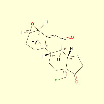 C[C@]12CC[C@H]3O[C@H]3C1=CC(=O)[C@H]1[C@@H]3CCC(=O)[C@@]3(CF)CC[C@@H]12